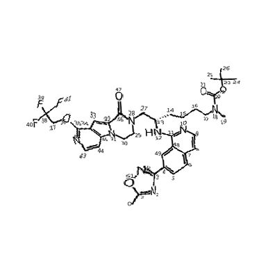 Cc1nc(-c2ccc3ccnc(N[C@@H](CCCCN(C)C(=O)OC(C)(C)C)CN4CCn5c(cc6c(OCC(F)(F)F)nccc65)C4=O)c3c2)no1